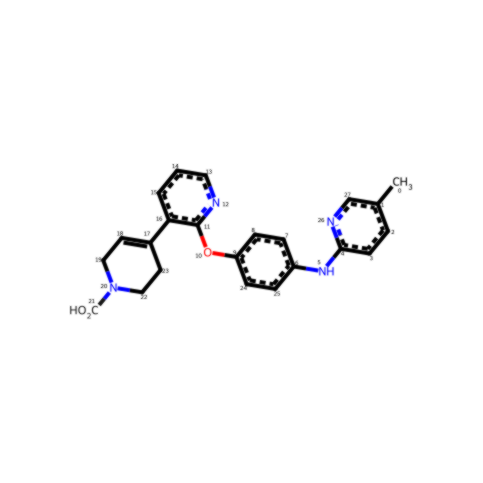 Cc1ccc(Nc2ccc(Oc3ncccc3C3=CCN(C(=O)O)CC3)cc2)nc1